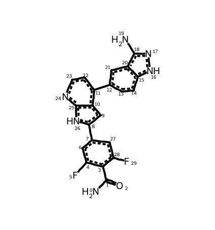 NC(=O)c1c(F)cc(-c2cc3c(-c4ccc5[nH]nc(N)c5c4)ccnc3[nH]2)cc1F